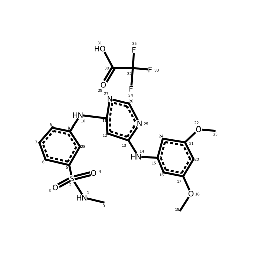 CNS(=O)(=O)c1cccc(Nc2cc(Nc3cc(OC)cc(OC)c3)ncn2)c1.O=C(O)C(F)(F)F